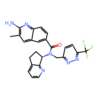 Cc1cc2cc(C(=O)N(Cc3ccc(C(F)(F)F)nn3)[C@@H]3CCc4cccnc43)ccc2nc1N